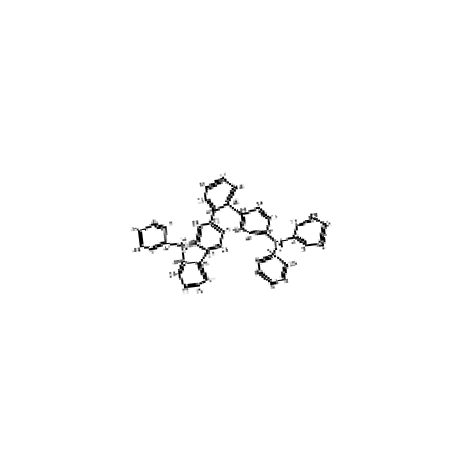 c1ccc(N(c2ccccc2)c2ccc(-c3ccccc3-c3ccc4c5ccccc5n(-c5ccccc5)c4c3)cc2)cc1